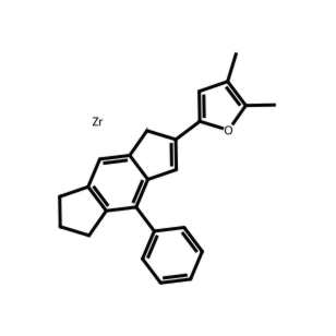 Cc1cc(C2=Cc3c(cc4c(c3-c3ccccc3)CCC4)[CH]2)oc1C.[Zr]